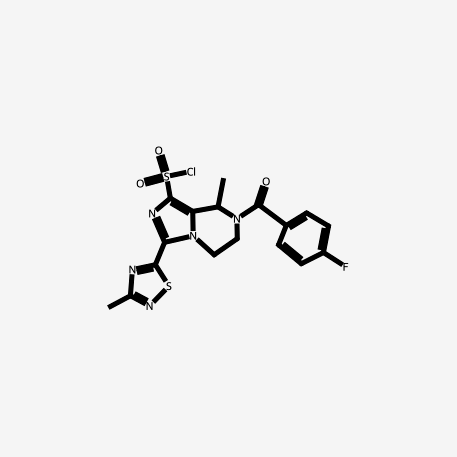 Cc1nsc(-c2nc(S(=O)(=O)Cl)c3n2CCN(C(=O)c2ccc(F)cc2)C3C)n1